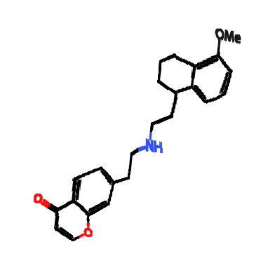 COc1cccc2c1CCCC2CCNCCc1ccc2c(=O)ccoc2c1